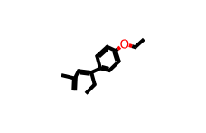 C=C(C)/C=C(\CC)c1ccc(OCC)cc1